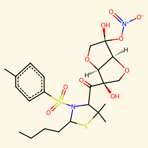 CCCCC1SC(C)(C)C(C(=O)[C@@]2(O)CO[C@H]3[C@@H]2OC[C@]3(O)O[N+](=O)[O-])N1S(=O)(=O)c1ccc(C)cc1